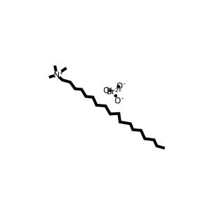 CCCCCCCCCCCCCCCCCC[N+](C)(C)C.[O-][Br+2]([O-])[O-]